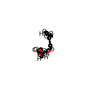 Cn1c(=O)n(C2CCC(=O)NC2=O)c2ccc(C#CC3CCN(C(=O)C45CCC(NC(=O)[C@@H]6NC7(CCCCC7)[C@@]7(C(=O)Nc8cc(Cl)ccc87)[C@H]6c6cccc(Cl)c6F)(CC4)CC5)CC3)cc21